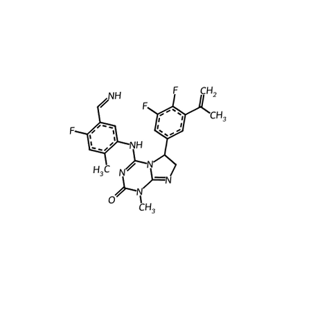 C=C(C)c1cc(C2CN=C3N(C)C(=O)N=C(Nc4cc(C=N)c(F)cc4C)N32)cc(F)c1F